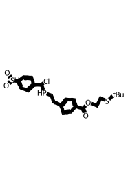 CC(C)(C)SCCOC(=O)c1ccc(CCPC(Cl)c2ccc([SH](=O)=O)cc2)cc1